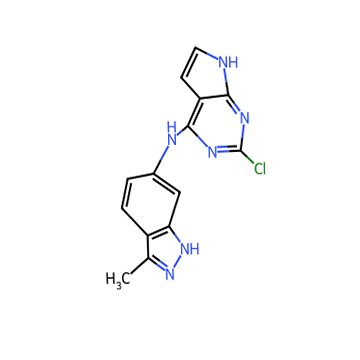 Cc1n[nH]c2cc(Nc3nc(Cl)nc4[nH]ccc34)ccc12